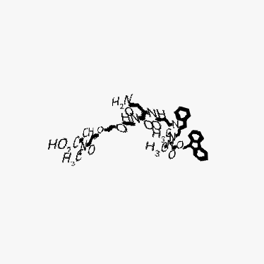 CC(C(=O)O)N(C)C(=O)CCOCCOCCNC(=O)C(CC(N)=O)NC(=O)CCn1c(CN(C)N(C)C(=O)OCC2c3ccccc3-c3ccccc32)cc2ccccc21